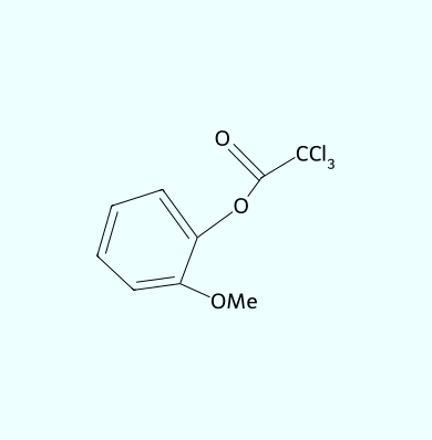 COc1ccccc1OC(=O)C(Cl)(Cl)Cl